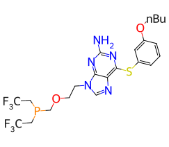 CCCCOc1cccc(Sc2nc(N)nc3c2ncn3CCOCP(CC(F)(F)F)CC(F)(F)F)c1